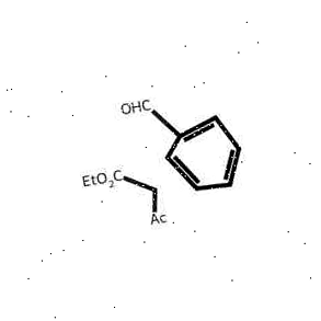 CCOC(=O)CC(C)=O.O=Cc1ccccc1